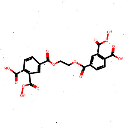 O=C(OCCOC(=O)c1ccc(C(=O)O)c(C(=O)OO)c1)c1ccc(C(=O)O)c(C(=O)OO)c1